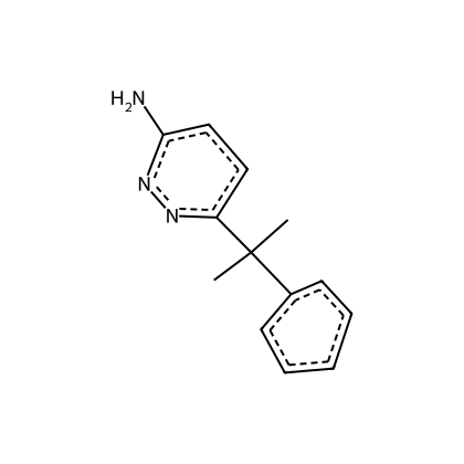 CC(C)(c1ccccc1)c1ccc(N)nn1